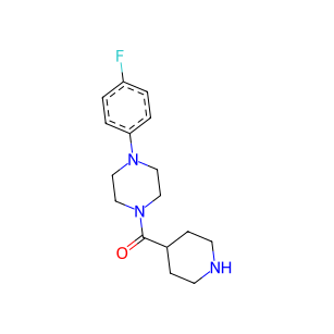 O=C(C1CCNCC1)N1CCN(c2ccc(F)cc2)CC1